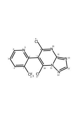 FC(F)(F)c1cccnc1-c1c(Cl)nc2ncnn2c1Cl